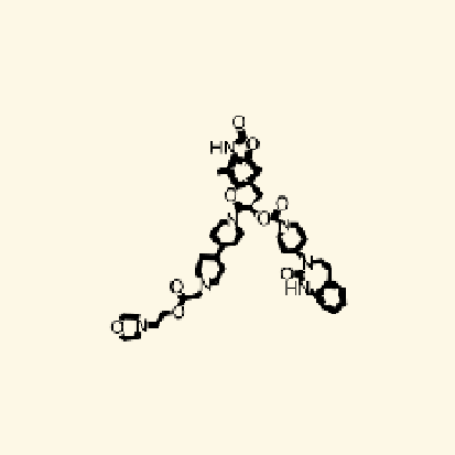 Cc1cc(C[C@@H](OC(=O)N2CCC(N3CCc4ccccc4NC3=O)CC2)C(=O)N2CCC(C3CCN(CC(=O)OCCN4CCOCC4)CC3)CC2)cc2oc(=O)[nH]c12